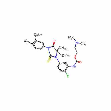 COc1cc(N2C(=O)C(C)(C)N(c3ccc(Cl)c(NC(=O)OCCN(C)C)c3)C2=S)ccc1C#N